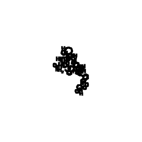 NC(=O)CC[C@H](NC(=O)[C@@H]1CC[C@@H]2CCCC[C@H](NC(=O)c3cc4cc(C(F)(F)P(=O)(O)O)ccc4s3)C(=O)N21)C(=O)N[C@@H](Cc1ccccc1)C(=O)N1CCC(CCC#Cc2cccc3c2CN(C2CCC(=O)NC2=O)C3=O)CC1